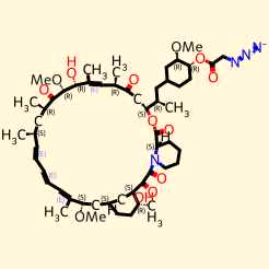 CO[C@H]1C[C@@H]2CC[C@@H](C)[C@@](O)(C2)C(=O)C(=O)N2CCCC[C@H]2C(=O)O[C@H]([C@H](C)CC2CC[C@@H](OC(=O)CN=[N+]=[N-])[C@H](OC)C2)CC(=O)[C@H](C)/C=C(\C)[C@@H](O)[C@@H](OC)C(=O)[C@H](C)C[C@H](C)/C=C/C=C/C=C/1C